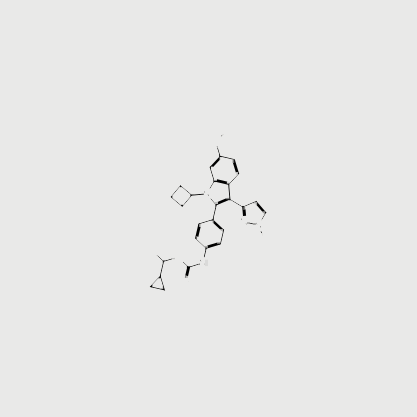 CCOc1ccc2c(-c3ccn(C)n3)c(-c3ccc(NC(=O)OC(C)C4CC4)cc3)n(C3CCC3)c2c1